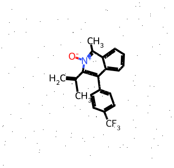 C=C(C)c1c(-c2ccc(C(F)(F)F)cc2)c2ccccc2c(C)[n+]1[O-]